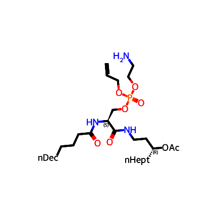 C=CCOP(=O)(OCCN)OC[C@H](NC(=O)CCCCCCCCCCCCC)C(=O)NCC[C@@H](CCCCCCC)OC(C)=O